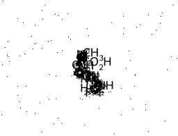 Cn1ncc(C(=O)N[C@@H]2CCC[C@H](Nc3nc(-c4c[nH]c5c(F)cc(F)cc45)ncc3F)C2)c1C(=O)O